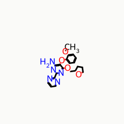 COc1ccccc1Oc1c(N)nc(-c2ncccn2)nc1OCC1CCCO1